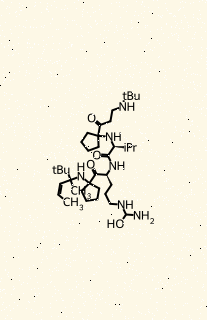 C/C=C\C(C)(NC1(C(=O)[C@H](CCCNC(N)O)NC(=O)[C@@H](NC2(C(=O)CCNC(C)(C)C)CCCC2)C(C)C)CCCC1)C(C)(C)C